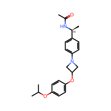 CC(=O)N[C@@H](C)c1ccc(N2CC(Oc3ccc(OC(C)C)cc3)C2)cc1